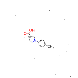 Cc1ccc(N2CC[C@@H](C(=O)O)C2)cc1